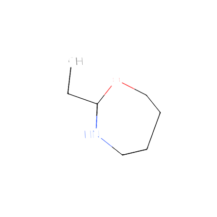 CCC1NCCCCO1